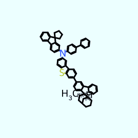 C[C@H]1CC2CCC[C@H](C2)[C@@]12c1ccccc1-c1cc(-c3ccc4c(c3)sc3ccc(N(c5ccc(-c6ccccc6)cc5)c5ccc6c(c5)C5(CCCC5)c5ccccc5-6)cc34)ccc12